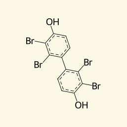 Oc1ccc(-c2ccc(O)c(Br)c2Br)c(Br)c1Br